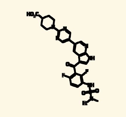 CCN(C)S(=O)(=O)Nc1ccc(F)c(C(=O)c2c[nH]c3ncc(-c4cnc(N5CCC(C(=O)O)CC5)nc4)cc23)c1F